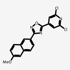 COc1ccc2cc(-c3noc(-c4cc(Cl)nc(Cl)c4)n3)ccc2c1